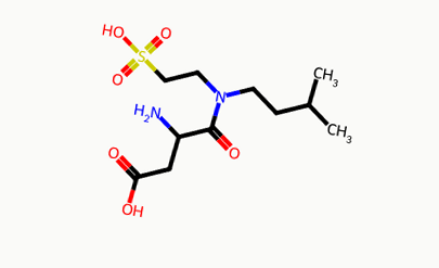 CC(C)CCN(CCS(=O)(=O)O)C(=O)C(N)CC(=O)O